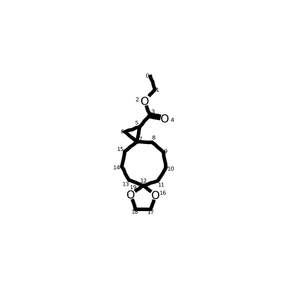 CCOC(=O)C1CC12CCCCC1(CCC2)OCCO1